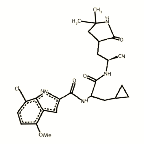 COc1ccc(Cl)c2[nH]c(C(=O)NC(CC3CC3)C(=O)N[C@H](C#N)CC3CC(C)(C)NC3=O)cc12